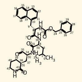 CC(C)C[C@H](NC(=O)[C@H](Cc1cccc2ccccc12)NC(=O)OCc1ccccc1)C(=O)N[C@H](C=O)C[C@@H]1CCCNC1=O